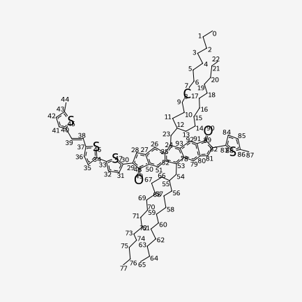 CCCCCCCCCCCCC(CCCCCCCCCC)Cc1c2cc3cc(-c4ccc(-c5ccc(/C=C/c6ccc(C)s6)s5)s4)c(=O)c3cc2c(CC(CCCCCCCCCC)CCCCCCCCCCCC)c2cc3cc(-c4ccc(C)s4)c(=O)c3cc12